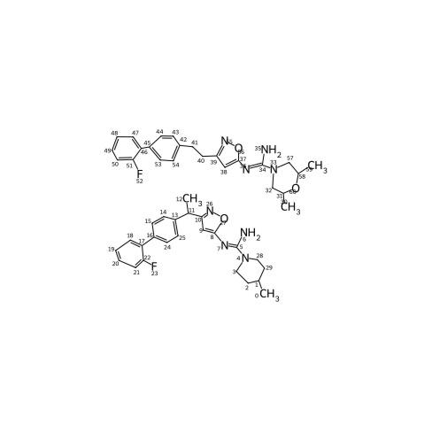 CC1CCN(C(N)=Nc2cc(C(C)c3ccc(-c4ccccc4F)cc3)no2)CC1.CC1CN(C(N)=Nc2cc(CCc3ccc(-c4ccccc4F)cc3)no2)CC(C)O1